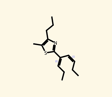 CC/C=C\C(=C/CC)c1nc(CCC)c(C)s1